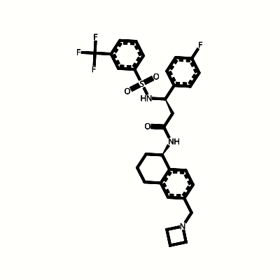 O=C(C[C@@H](NS(=O)(=O)c1cccc(C(F)(F)F)c1)c1ccc(F)cc1)N[C@@H]1CCCc2cc(CN3CCC3)ccc21